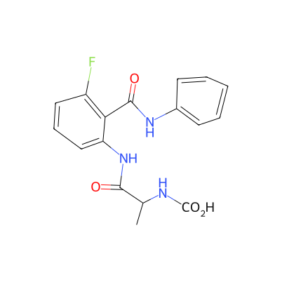 CC(NC(=O)O)C(=O)Nc1cccc(F)c1C(=O)Nc1ccccc1